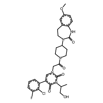 COc1ccc2c(c1)CCN(C1CCN(C(=O)Cn3cc(-c4cccc(F)c4Cl)c(=O)n(C(C)CO)c3=O)CC1)C(=O)N2